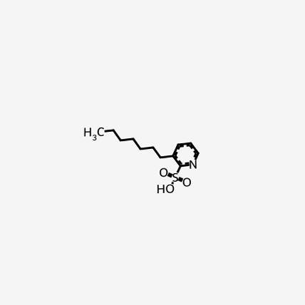 CCCCCCCc1cccnc1S(=O)(=O)O